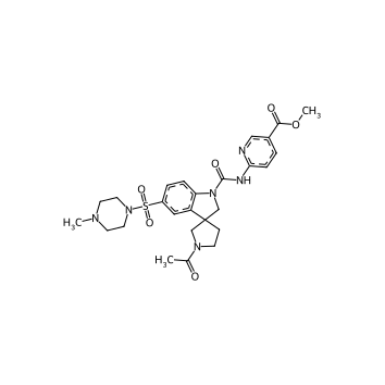 COC(=O)c1ccc(NC(=O)N2CC3(CCN(C(C)=O)C3)c3cc(S(=O)(=O)N4CCN(C)CC4)ccc32)nc1